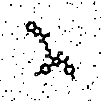 Cc1ccc(C(=O)c2nn(-c3ccc(Cl)cc3)c(NCCCNC(=O)C3Cc4ccccc4O3)c2C#N)cc1